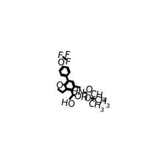 CC(C)(C)OC(=O)NCc1cc(-c2ccc(OC(F)(F)F)cc2)c2c(c1C(O)CO)CCO2